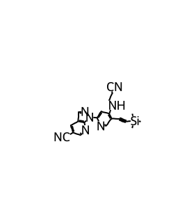 C[Si](C)(C)C#Cc1cnc(-n2ncc3cc(C#N)cnc32)cc1NCCC#N